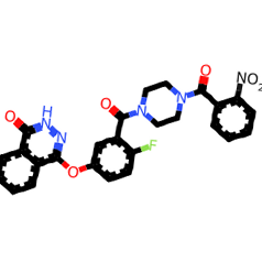 O=C(c1cc(Oc2n[nH]c(=O)c3ccccc23)ccc1F)N1CCN(C(=O)c2ccccc2[N+](=O)[O-])CC1